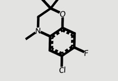 CN1CC(C)(C)Oc2cc(F)c(Cl)cc21